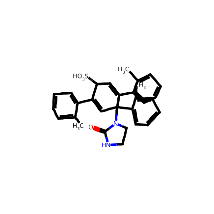 Cc1ccccc1C1=CC(c2ccccc2C)(N2CCNC2=O)C(c2ccccc2C)=CC1S(=O)(=O)O